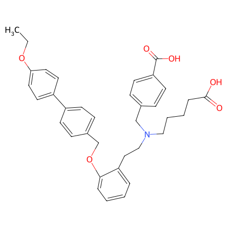 CCOc1ccc(-c2ccc(COc3ccccc3CCN(CCCCC(=O)O)Cc3ccc(C(=O)O)cc3)cc2)cc1